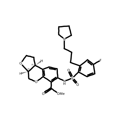 COC(=O)c1c(NS(=O)(=O)c2ccc(F)cc2CCCN2CCCC2)ccc2c1OC[C@H]1OCC[C@@H]21